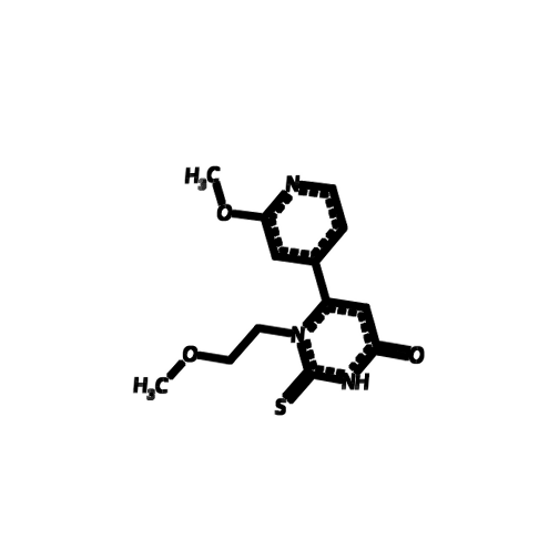 COCCn1c(-c2ccnc(OC)c2)cc(=O)[nH]c1=S